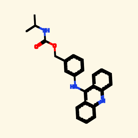 CC(C)NC(=O)OCc1cccc(Nc2c3ccccc3nc3ccccc23)c1